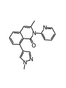 Cc1cc2cccc(-c3cnn(C)c3)c2c(=O)n1-c1ccccn1